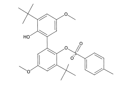 COc1cc(-c2cc(OC)cc(C(C)(C)C)c2OS(=O)(=O)c2ccc(C)cc2)c(O)c(C(C)(C)C)c1